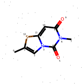 Cc1cn2c(=O)n(C)c(=O)cc2s1